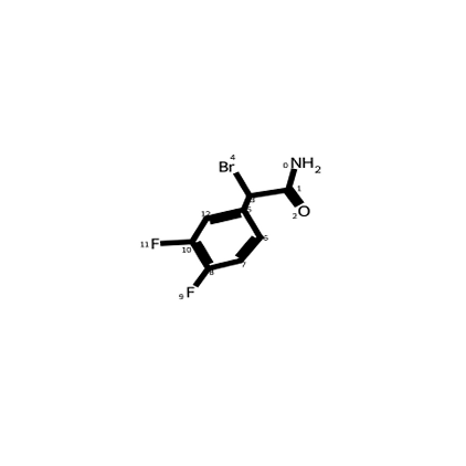 NC(=O)C(Br)c1ccc(F)c(F)c1